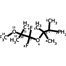 CC(P)C(C)(C)OC(F)(F)C(C)(C)OC(F)(F)F